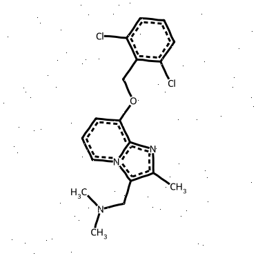 Cc1nc2c(OCc3c(Cl)cccc3Cl)cccn2c1CN(C)C